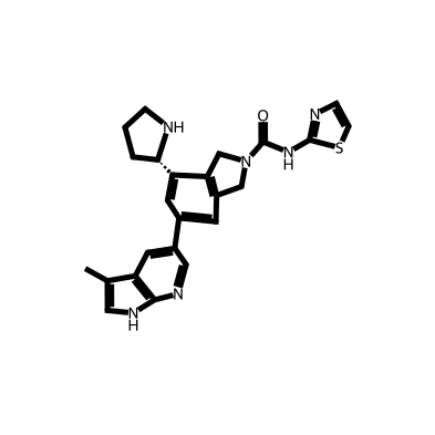 Cc1c[nH]c2ncc(-c3cc4c(c([C@@H]5CCCN5)c3)CN(C(=O)Nc3nccs3)C4)cc12